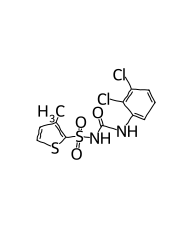 Cc1ccsc1S(=O)(=O)NC(=O)Nc1cccc(Cl)c1Cl